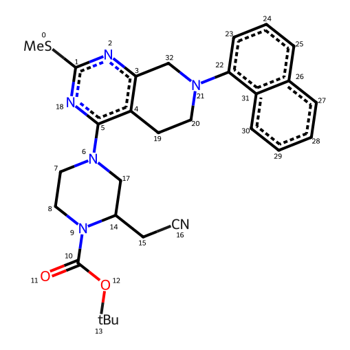 CSc1nc2c(c(N3CCN(C(=O)OC(C)(C)C)C(CC#N)C3)n1)CCN(c1cccc3ccccc13)C2